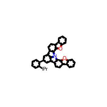 CC(C)c1ccccc1-c1cc2c3ccc4c5ccccc5oc4c3n3c2c(c1)c1ccc2c4ccccc4oc2c13